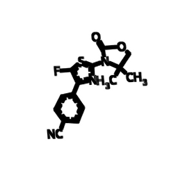 CC1(C)COC(=O)N1c1nc(-c2ccc(C#N)cc2)c(F)s1